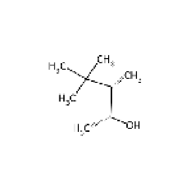 C[C@H]([C@@H](C)O)C(C)(C)C